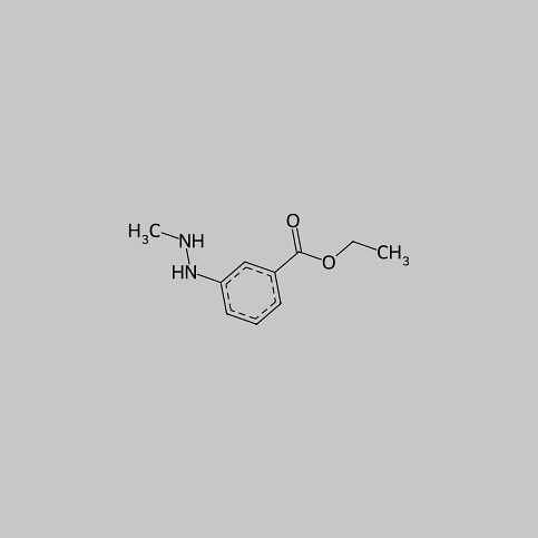 CCOC(=O)c1cccc(NNC)c1